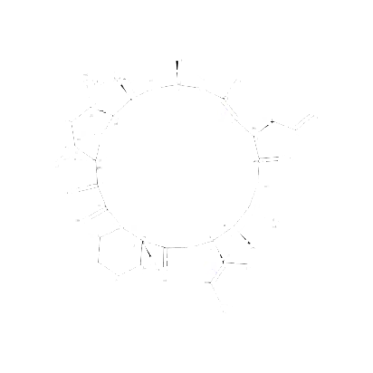 C=CC[C@@H]1/C=C(\C)C[C@H](C)C[C@H](OC)[C@H]2O[C@@](O)(C(=O)C(=O)N3CCCC[C@H]3C(=O)O[C@H](/C(C)=C/C(C)CC)[C@H](C)[C@@H](O)CC1=O)[C@H](C)C[C@@H]2OC